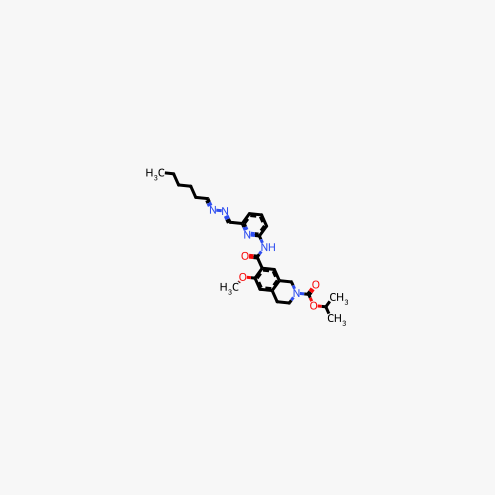 CCCCC/C=N/N=C/c1cccc(NC(=O)c2cc3c(cc2OC)CCN(C(=O)OC(C)C)C3)n1